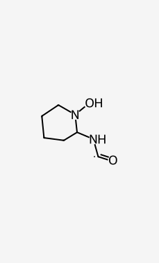 O=[C]NC1CCCCN1O